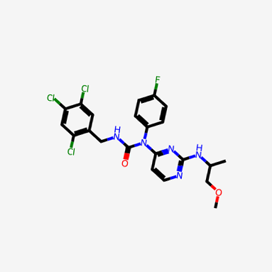 COCC(C)Nc1nccc(N(C(=O)NCc2cc(Cl)c(Cl)cc2Cl)c2ccc(F)cc2)n1